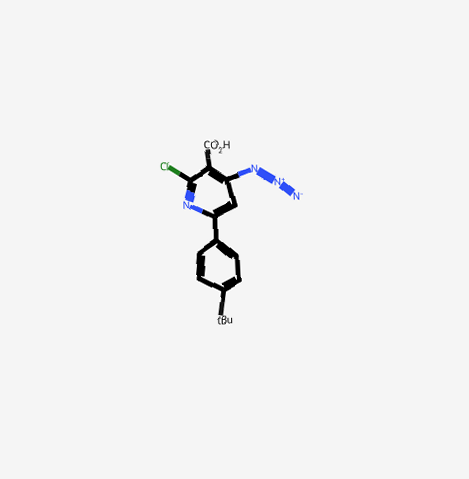 CC(C)(C)c1ccc(-c2cc(N=[N+]=[N-])c(C(=O)O)c(Cl)n2)cc1